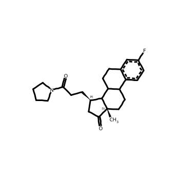 C[C@]12CCC3c4ccc(F)cc4CCC3C1[C@H](CCC(=O)N1CCCC1)CC2=O